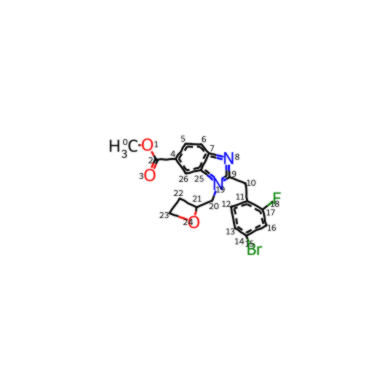 COC(=O)c1ccc2nc(Cc3ccc(Br)cc3F)n(CC3CCO3)c2c1